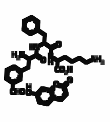 NCCCCC(NC(=O)C(Cc1ccccc1)NC(=O)C(N)Cc1cccc(C=O)c1)C(=O)O.O=c1ccc2ccc(O)cc2o1